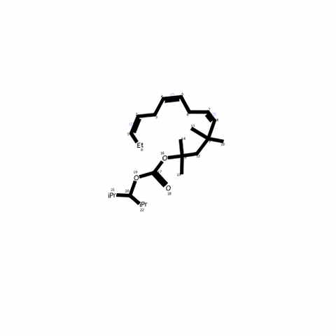 CC/C=C\C/C=C\C/C=C\C(C)(C)CC(C)(C)OC(=O)OC(C(C)C)C(C)C